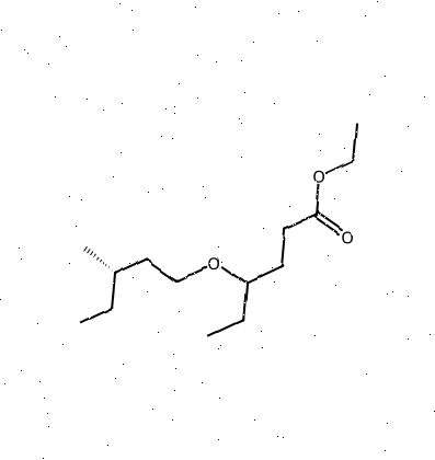 CCOC(=O)CCC(CC)OCC[C@@H](C)CC